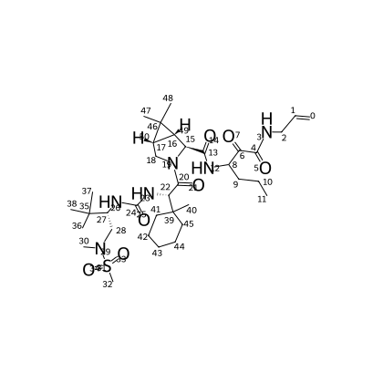 C=CCNC(=O)C(=O)C(CCC)NC(=O)[C@@H]1[C@@H]2[C@H](CN1C(=O)[C@@H](NC(=O)N[C@H](CN(C)S(C)(=O)=O)C(C)(C)C)C1(C)CCCCC1)C2(C)C